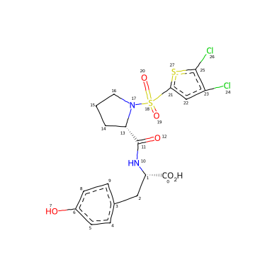 O=C(O)[C@H](Cc1ccc(O)cc1)NC(=O)[C@@H]1CCCN1S(=O)(=O)c1cc(Cl)c(Cl)s1